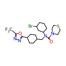 O=C(N1CCSCC1)N(CC1CCC(c2nnc(C(F)(F)F)o2)CC1)C1CCCC(Br)C1